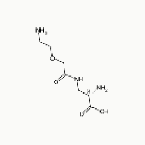 NCCOCC(=O)NC[C@H](N)C(=O)O